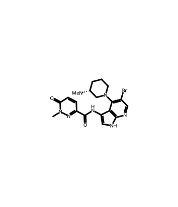 CN[C@@H]1CCCN(c2c(Br)cnc3[nH]cc(NC(=O)c4ccc(=O)n(C)n4)c23)C1